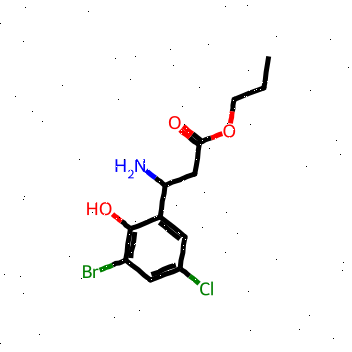 CCCOC(=O)CC(N)c1cc(Cl)cc(Br)c1O